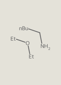 CCCCCN.CCOCC